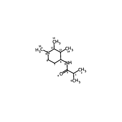 CC(C)C(=O)NC1CCN(C)C(C)C1C